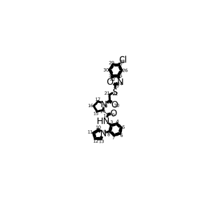 O=C(Nc1ccccc1-n1cccc1)[C@@H]1CCCN1C(=O)CSc1nc2cc(Cl)ccc2o1